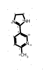 Cc1ccc(C2=NCCN2)cn1